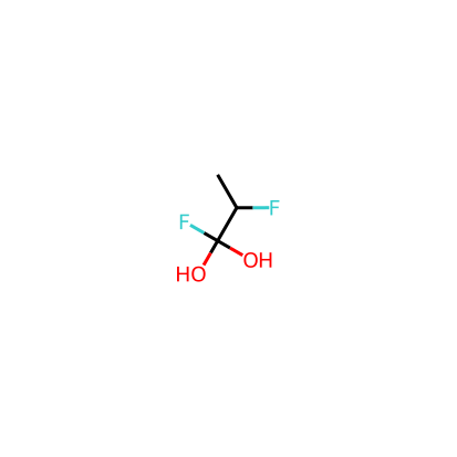 CC(F)C(O)(O)F